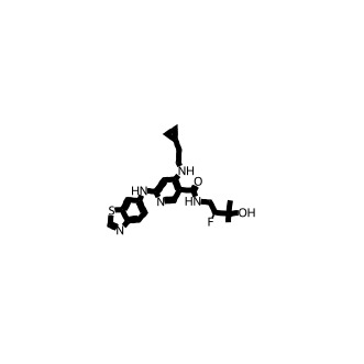 CC(C)(O)[C@H](F)CNC(=O)c1cnc(Nc2ccc3ncsc3c2)cc1NCCC1CC1